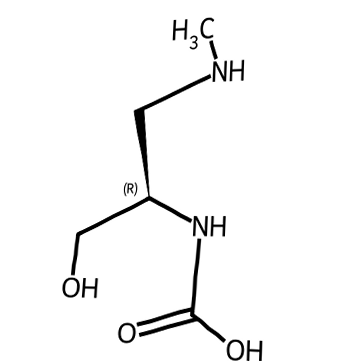 CNC[C@H](CO)NC(=O)O